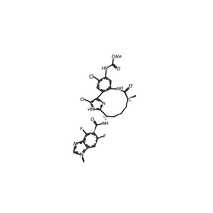 COC(=O)Nc1cc2c(cc1Cl)-c1nc([nH]c1Cl)[C@@H](NC(=O)c1c(F)cc3c(ncn3C)c1F)CCC[C@H](C)C(=O)N2